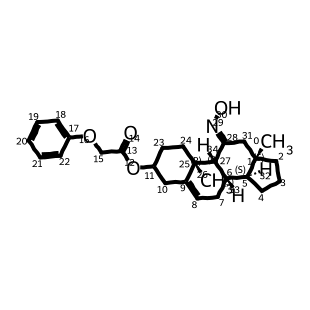 C[C@@]12CCC[C@H]1[C@@H]1CC=C3CC(OC(=O)COc4ccccc4)CC[C@]3(C)[C@@H]1C(=NO)C2